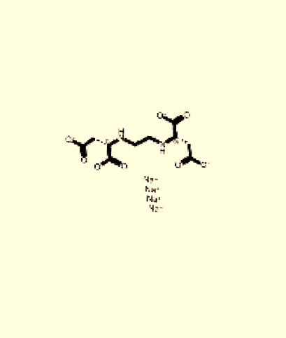 O=C([O-])C[C@H](NCCN[C@@H](CC(=O)[O-])C(=O)[O-])C(=O)[O-].[Na+].[Na+].[Na+].[Na+]